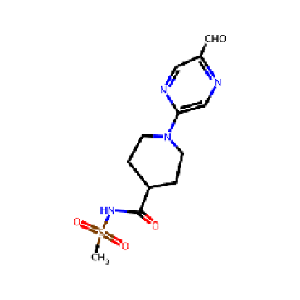 CS(=O)(=O)NC(=O)C1CCN(c2cnc(C=O)cn2)CC1